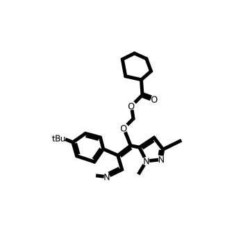 C/N=C\C(=C(\OCOC(=O)C1CCCCC1)c1cc(C)nn1C)c1ccc(C(C)(C)C)cc1